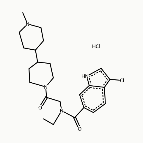 CCN(CC(=O)N1CCC(C2CCN(C)CC2)CC1)C(=O)c1ccc2c(Cl)c[nH]c2c1.Cl